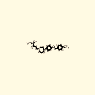 CCCN(CC)C(=O)CCN1CCCN(c2ccc(OCc3ccc(C(F)(F)F)cc3)cc2)CC1